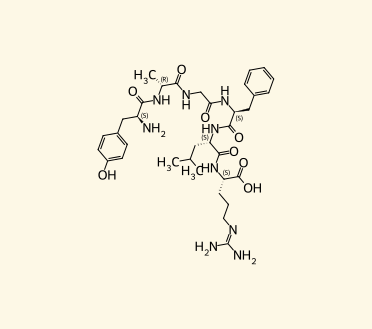 CC(C)C[C@H](NC(=O)[C@H](Cc1ccccc1)NC(=O)CNC(=O)[C@@H](C)NC(=O)[C@@H](N)Cc1ccc(O)cc1)C(=O)N[C@@H](CCCN=C(N)N)C(=O)O